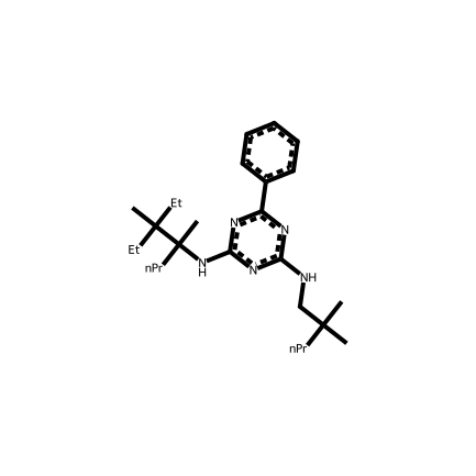 CCCC(C)(C)CNc1nc(NC(C)(CCC)C(C)(CC)CC)nc(-c2ccccc2)n1